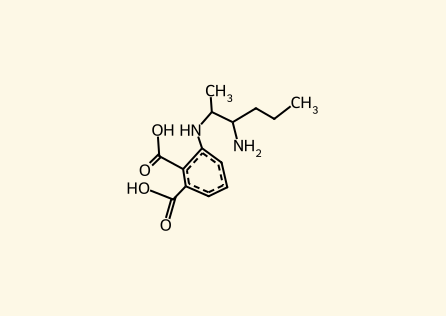 CCCC(N)C(C)Nc1cccc(C(=O)O)c1C(=O)O